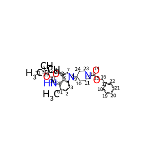 Cc1ccc2c(ccn2C2CCN(C(=O)OCc3ccccc3)CC2)c1NC(=O)OC(C)(C)C